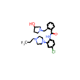 O=C(Nc1ccc(Cl)cc1N1CCN(CCC(F)(F)F)CC1)c1ccccc1CN1CCC(O)C1